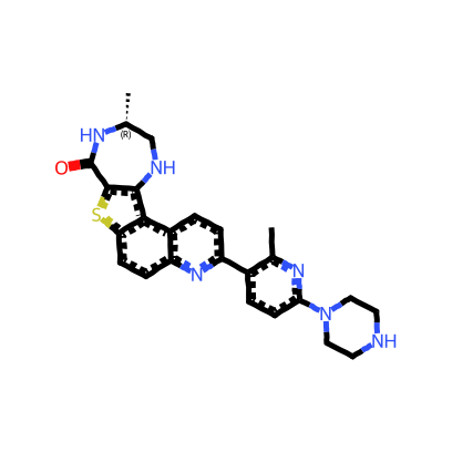 Cc1nc(N2CCNCC2)ccc1-c1ccc2c(ccc3sc4c(c32)NC[C@@H](C)NC4=O)n1